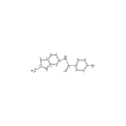 CCc1ccc(C(=O)Nc2ccc3sc(C)nc3c2)cc1